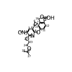 [C-]#[N+]c1cc(C2CC2)c(Oc2ccc3c(c2)COB3O)nc1OCCOC(C)C